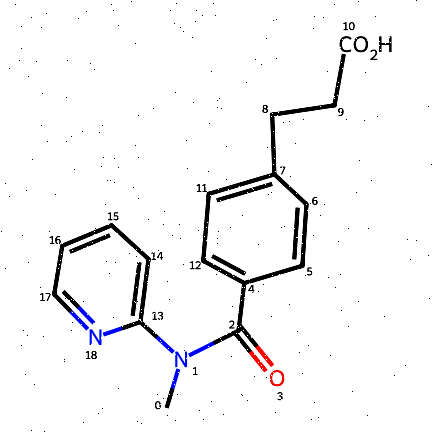 CN(C(=O)c1ccc(CCC(=O)O)cc1)c1ccccn1